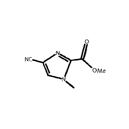 COC(=O)c1nc(C#N)cn1C